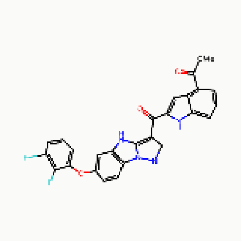 COC(=O)c1cccc2[nH]c(C(=O)C3=C4Nc5cc(Oc6cccc(F)c6F)ccc5N4NC3)cc12